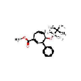 COC(=O)C1=CC(c2ccccc2)C(O[Si](C)(C)C(C)(C)C)C=CC1